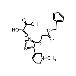 CN1CCC=C(c2nsnc2SCC(=O)OCc2ccccc2)C1.O=C(O)C(=O)O